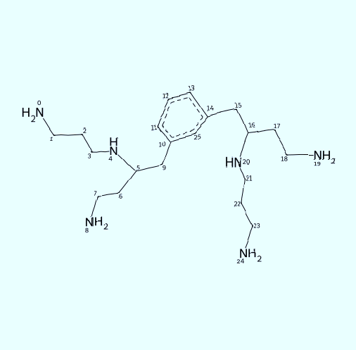 NCCCNC(CCN)Cc1cccc(CC(CCN)NCCCN)c1